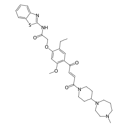 CCc1cc(C(=O)C=CC(=O)N2CCC(N3CCCN(C)CC3)CC2)c(OC)cc1OCC(=O)Nc1nc2ccccc2s1